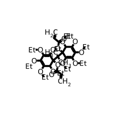 C=CC(=O)OC1(C(C)(C)C2(OC(=O)C=C)C(OCC)=C(OCC)C(OCC)=C(OCC)C2OCC)C(OCC)=C(OCC)C(OCC)=C(OCC)C1OCC